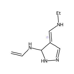 C=CNC1NN=C/C1=C\NCC